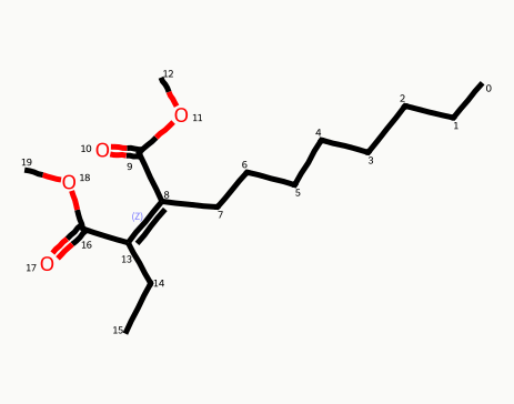 CCCCCCCC/C(C(=O)OC)=C(\CC)C(=O)OC